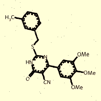 COc1cc(-c2nc(SCc3cccc(C)c3)[nH]c(=O)c2C#N)cc(OC)c1OC